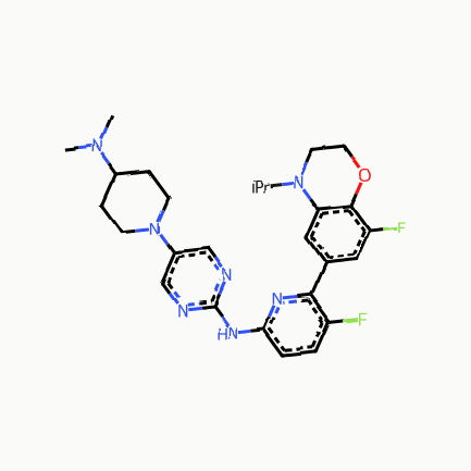 CC(C)N1CCOc2c(F)cc(-c3nc(Nc4ncc(N5CCC(N(C)C)CC5)cn4)ccc3F)cc21